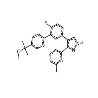 COC(C)(C)c1ccc(-c2cc(-c3c[nH]nc3-c3cccc(C)n3)ccc2F)nc1